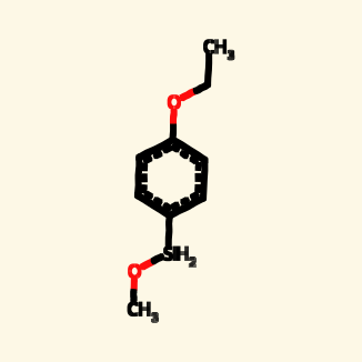 CCOc1ccc([SiH2]OC)cc1